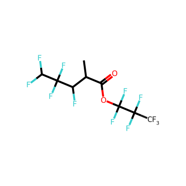 CC(C(=O)OC(F)(F)C(F)(F)C(F)(F)F)C(F)C(F)(F)C(F)F